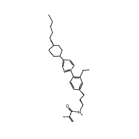 C=C(C)C(=O)N(C)CCCc1ccc(-c2ccc(C3CCC(CCCCC)CC3)cc2)c(CC)c1